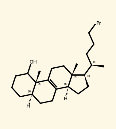 CC(C)CCC[C@@H](C)[C@H]1CC[C@H]2C3=C(CC[C@]12C)[C@@]1(C)C(O)CCC[C@@H]1CC3